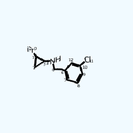 CC(C)C1CC1NCc1cccc(Cl)c1